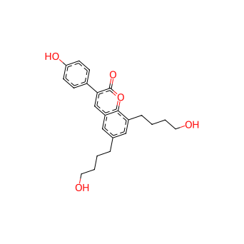 O=c1oc2c(CCCCO)cc(CCCCO)cc2cc1-c1ccc(O)cc1